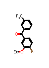 CCOc1cc(C(=O)c2cccc(C(F)(F)F)c2)ccc1Br